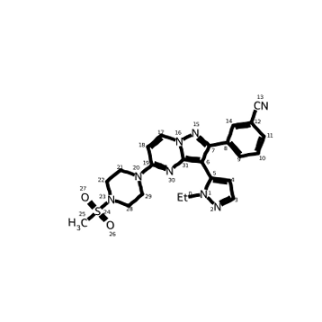 CCn1nccc1-c1c(-c2cccc(C#N)c2)nn2ccc(N3CCN(S(C)(=O)=O)CC3)nc12